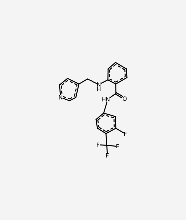 O=C(Nc1ccc(C(F)(F)F)c(F)c1)c1ccccc1NCc1ccncc1